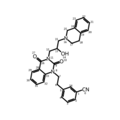 N#Cc1cccc(CCn2c(=O)n(CC(O)CN3CCc4ccccc4C3)c(=O)c3ccccc32)c1